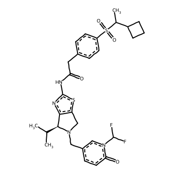 CC(C)[C@H]1c2nc(NC(=O)Cc3ccc(S(=O)(=O)C(C)C4CCC4)cc3)sc2CN1Cc1ccc(=O)n(C(F)F)c1